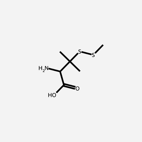 CSSC(C)(C)C(N)C(=O)O